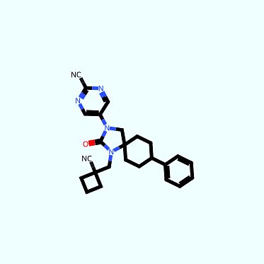 N#Cc1ncc(N2CC3(CCC(c4ccccc4)CC3)N(CC3(C#N)CCC3)C2=O)cn1